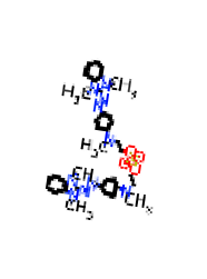 CN(CCOS(=O)(=O)OCCN(C)c1ccc(/N=N/c2n(C)c3ccccc3[n+]2C)cc1)c1ccc(/N=N/c2n(C)c3ccccc3[n+]2C)cc1